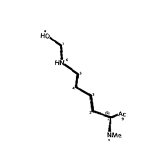 CN[C@@H](CCCCNCO)C(C)=O